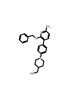 Cc1ccc(-c2ccc(N3CCC(CO)CC3)cc2)c(OCc2ccccc2)n1